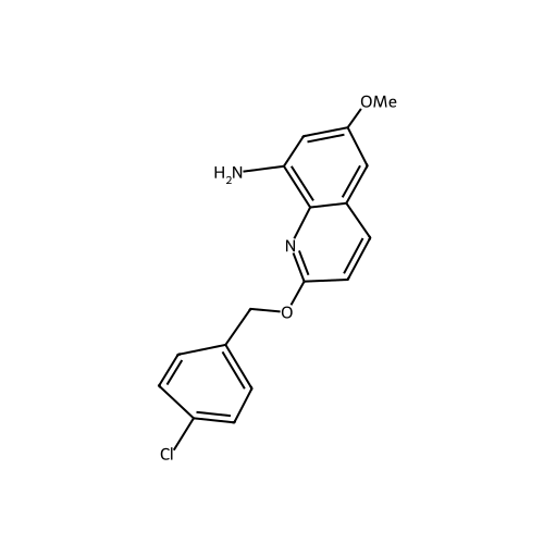 COc1cc(N)c2nc(OCc3ccc(Cl)cc3)ccc2c1